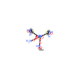 CC(C)(C)OC(=O)NCCOCCOCC(NC(=O)CCCC[C@@H]1SC[C@@H]2NC(=O)N[C@@H]21)C(COCCOCCN)NC(=O)CCCC[C@@H]1SC[C@@H]2NC(=O)N[C@@H]21